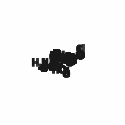 CC(=O)O.CC1(C)O[C@@H]2[C@H](O1)C(COP1(=O)OCCC(c3cccc(Cl)c3)O1)O[C@H]2N1C=C(C(N)=O)C=CC1